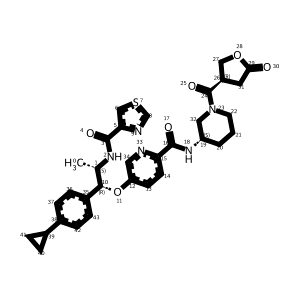 C[C@H](NC(=O)c1cscn1)[C@H](Oc1ccc(C(=O)N[C@H]2CCCN(C(=O)[C@H]3COC(=O)C3)C2)nc1)c1ccc(C2CC2)cc1